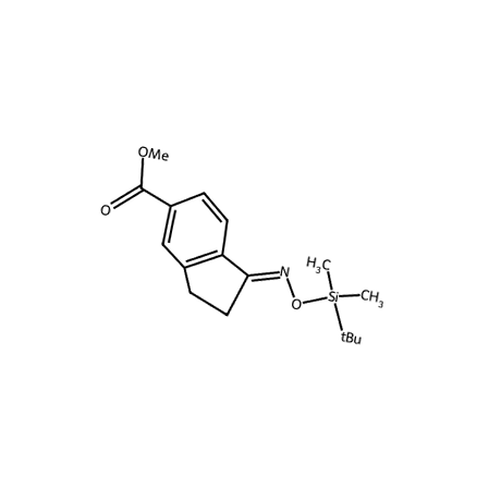 COC(=O)c1ccc2c(c1)CCC2=NO[Si](C)(C)C(C)(C)C